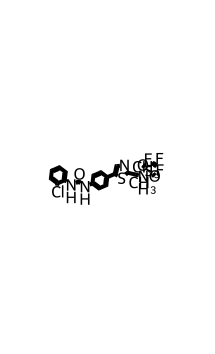 CC(C)(NS(=O)(=O)C(F)(F)F)c1ncc(-c2ccc(NC(=O)Nc3ccccc3Cl)cc2)s1